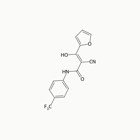 N#CC(C(=O)Nc1ccc(C(F)(F)F)cc1)=C(O)c1ccco1